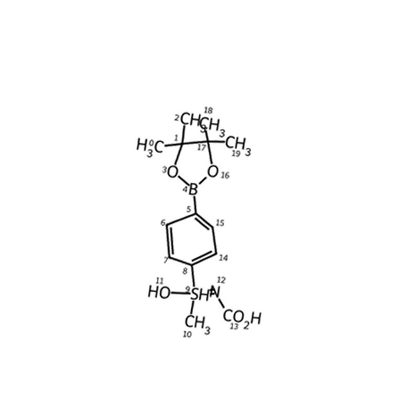 CC1(C)OB(c2ccc([SH](C)(O)=NC(=O)O)cc2)OC1(C)C